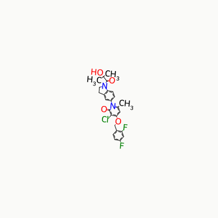 Cc1cc(OCc2ccc(F)cc2F)c(Cl)c(=O)n1-c1ccc2c(c1)CCN2C(=O)C(C)(C)O